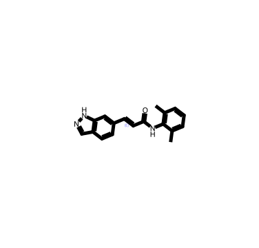 Cc1cccc(C)c1NC(=O)/C=C/c1ccc2cn[nH]c2c1